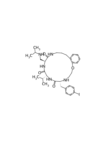 CC(C)NC[C@@H]1NC(=O)[C@@H](C(C)C)NC(=O)[C@@H](Cc2ccc(I)cc2)NCCOc2ccccc2CCCNC1=O